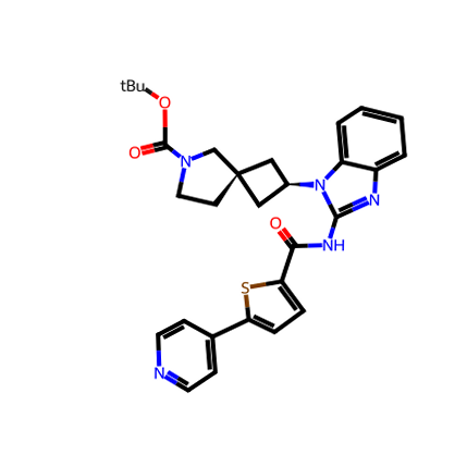 CC(C)(C)OC(=O)N1CC[C@]2(C1)C[C@H](n1c(NC(=O)c3ccc(-c4ccncc4)s3)nc3ccccc31)C2